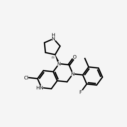 Cc1cccc(F)c1N1CC2=C(C=C(Cl)NC2)N([C@H]2CCNC2)C1=O